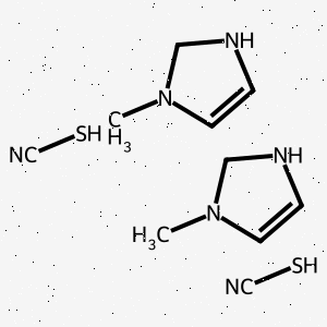 CN1C=CNC1.CN1C=CNC1.N#CS.N#CS